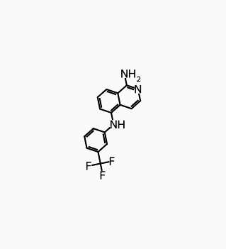 Nc1nccc2c(Nc3cccc(C(F)(F)F)c3)cccc12